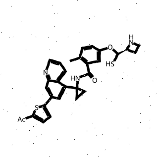 CC(=O)c1ccc(-c2cc(C3(NC(=O)c4cc(OC(S)[C@@H]5CCN5)ccc4C)CC3)c3cccnc3c2)s1